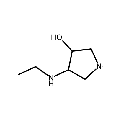 CCNC1C[N]CC1O